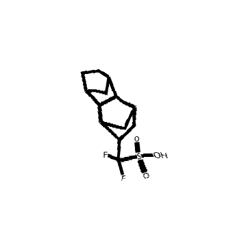 O=S(=O)(O)C(F)(F)C1CC2CC1C1C3CCC(C3)C21